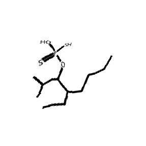 CCCCC(CC)C(OP(O)(=S)S)C(C)C